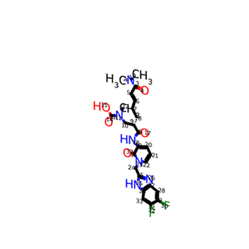 CN(C)C(=O)/C=C/CC[C@@H](CN(C)C(=O)O)C(=O)Nc1cccn(Cc2nc3cc(F)c(F)cc3[nH]2)c1=O